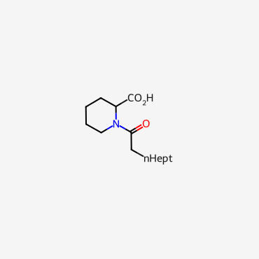 CCCCCCCCC(=O)N1CCCCC1C(=O)O